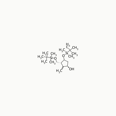 C=C1[C@H](O)CC(O[Si](C)(C)C(C)(C)C)[C@H]1CO[Si](C)(C)C(C)(C)C